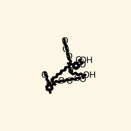 COCCOCCOCCC1(C)C(/C=C/C=C/C=C/C=C2/N(CCOC)c3ccc(C)cc3C2(C)CCOCCOCCOC)=[N+](CCCCCC(=O)O)c2ccc(S(=O)(=O)O)cc21